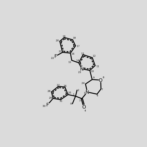 CC(C)(C(=O)N1CCOC(c2cccc(Cc3ccccc3F)n2)C1)c1cccc(F)c1